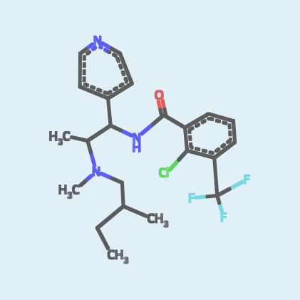 CCC(C)CN(C)C(C)C(NC(=O)c1cccc(C(F)(F)F)c1Cl)c1ccncc1